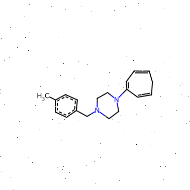 Cc1ccc(CN2CCN(C3=CC=CCC=C3)CC2)cc1